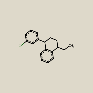 CCC1CCC(c2cccc(Cl)c2)c2ccccc21